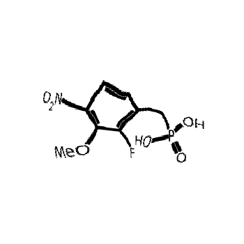 COc1c([N+](=O)[O-])ccc(CP(=O)(O)O)c1F